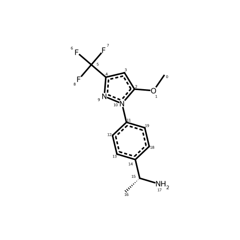 COc1cc(C(F)(F)F)nn1-c1ccc([C@@H](C)N)cc1